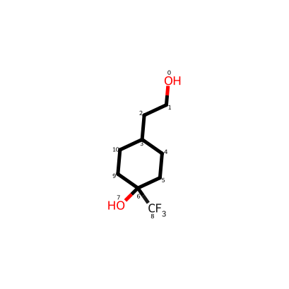 OCCC1CCC(O)(C(F)(F)F)CC1